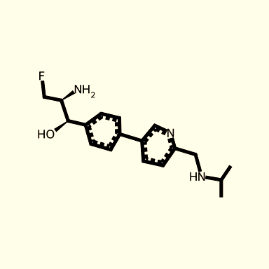 CC(C)NCc1ccc(-c2ccc([C@@H](O)[C@H](N)CF)cc2)cn1